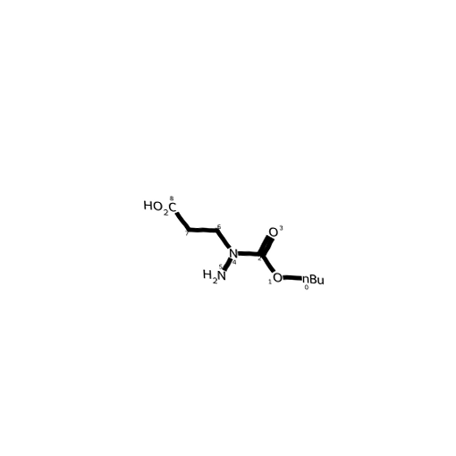 CCCCOC(=O)N(N)CCC(=O)O